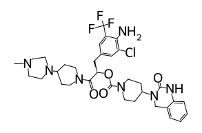 CN1CCN(C2CCN(C(=O)[C@@H](Cc3cc(Cl)c(N)c(C(F)(F)F)c3)OC(=O)N3CCC(N4Cc5ccccc5NC4=O)CC3)CC2)CC1